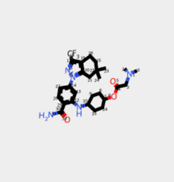 CN(C)CC(=O)OC1CCC(Nc2cc(-n3nc(C(F)(F)F)c4c3CC(C)(C)CC4)ccc2C(N)=O)CC1